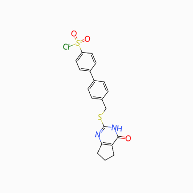 O=c1[nH]c(SCc2ccc(-c3ccc(S(=O)(=O)Cl)cc3)cc2)nc2c1CCC2